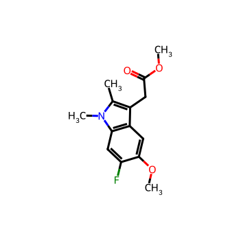 COC(=O)Cc1c(C)n(C)c2cc(F)c(OC)cc12